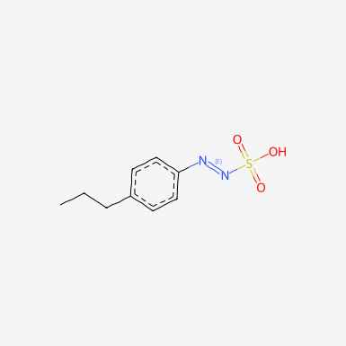 CCCc1ccc(/N=N/S(=O)(=O)O)cc1